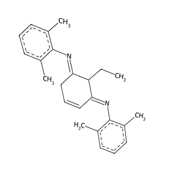 CCC1C(=Nc2c(C)cccc2C)C=CCC1=Nc1c(C)cccc1C